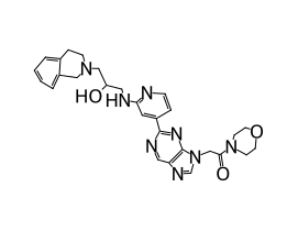 O=C(Cn1cnc2cnc(-c3ccnc(NCC(O)CN4CCc5ccccc5C4)c3)nc21)N1CCOCC1